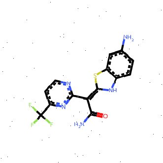 NC(=O)/C(=C1\Nc2ccc(N)cc2S1)c1nccc(C(F)(F)F)n1